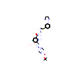 CC(C)(C)OC(=O)N1CCN(/N=C/c2cc(C(=O)Nc3ncc(-c4cccc(N5CCCC5)c4)s3)cc(F)c2O)CC1